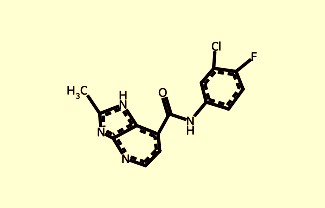 Cc1nc2nccc(C(=O)Nc3ccc(F)c(Cl)c3)c2[nH]1